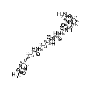 CS(=O)(=O)c1ncc(C#CCCCC(=O)NCCCCCC(=O)NCC(=O)NCC(=O)N[C@@H](Cc2ccccc2)C(=O)NCC(N)=O)cn1